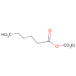 CCOC(=O)OC(=O)CCCCC(=O)O